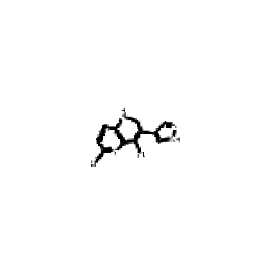 ClC1=C(c2cn[nH]c2)CNc2ccc(Cl)nc21